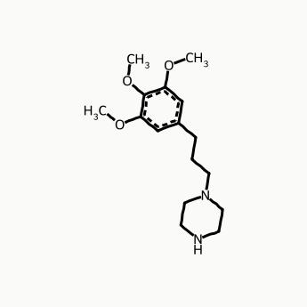 COc1cc(CCCN2CCNCC2)cc(OC)c1OC